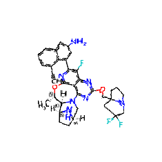 C#Cc1cccc2cc(N)cc(-c3nc4c5c(nc(OCC67CCCN6CC(F)(F)C7)nc5c3F)N3C[C@H]5CC[C@H](N5)[C@H]3[C@H](C)O4)c12